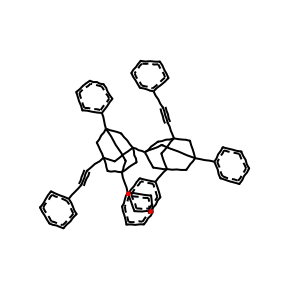 C(#CC12CC3(c4ccccc4)CC(c4ccccc4)(C1)CC(C14CC5(C#Cc6ccccc6)CC(c6ccccc6)(CC(c6ccccc6)(C5)C1)C4)(C2)C3)c1ccccc1